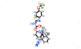 C/C=C1\[C@@H]2C=CCC1(N=[N+]=[N-])C1=C(C2)NC(OC(=O)Nc2nc3ccc(OC(F)(F)F)cc3s2)C=C1